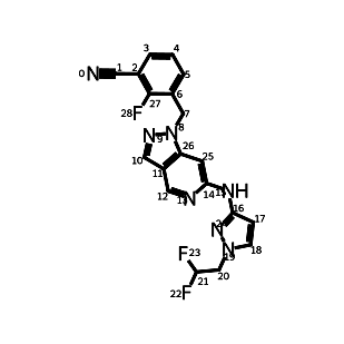 N#Cc1cccc(Cn2ncc3cnc(Nc4ccn(CC(F)F)n4)cc32)c1F